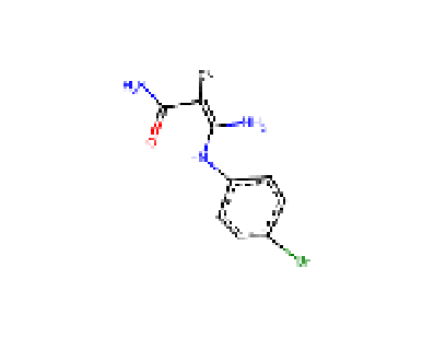 N#CC(C(N)=O)=C(N)Nc1ccc(Br)cc1